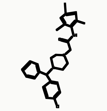 Cc1cc(C)c(NC(=O)CN2CCN(C(c3ccccc3)c3ccc(Cl)cc3)CC2)c(C)c1